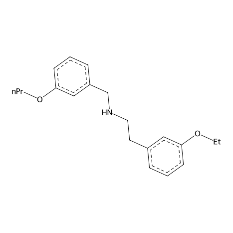 CCCOc1cccc(CNCCc2cccc(OCC)c2)c1